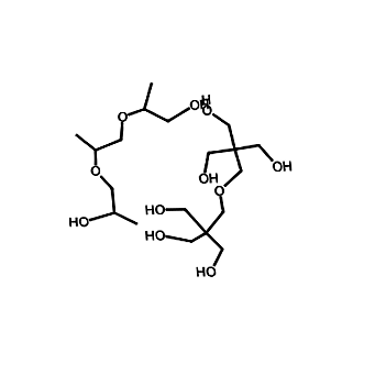 CC(O)COC(C)COC(C)CO.OCC(CO)(CO)COCC(CO)(CO)CO